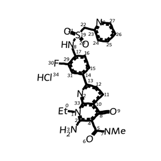 CCn1c(N)c(C(=O)NC)c(=O)c2ccc(-c3ccc(NS(=O)(=O)Cc4ccccn4)c(F)c3)nc21.Cl